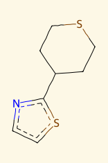 c1csc(C2CCSCC2)n1